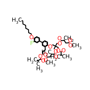 C=C(C)C(=O)OCCCc1cc(-c2ccc(OCCCCCCCC)c(F)c2)ccc1OCC(COC(=O)C(=C)C)(COC(=O)C(=C)CC(=O)OC)COC(=O)C(=C)CC(=O)OC